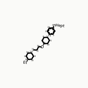 CCCCCCCc1ccc([C@H]2CC[C@H](OCCC[C@H]3CC[C@H](CC)CC3)CC2)cc1